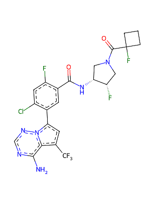 Nc1ncnn2c(-c3cc(C(=O)N[C@@H]4CN(C(=O)C5(F)CCC5)C[C@@H]4F)c(F)cc3Cl)cc(C(F)(F)F)c12